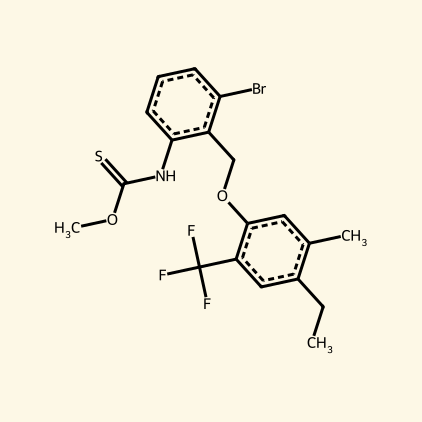 CCc1cc(C(F)(F)F)c(OCc2c(Br)cccc2NC(=S)OC)cc1C